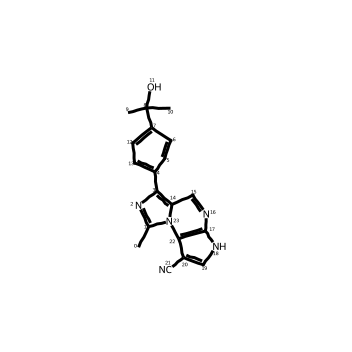 Cc1nc(-c2ccc(C(C)(C)O)cc2)c2cnc3[nH]cc(C#N)c3n12